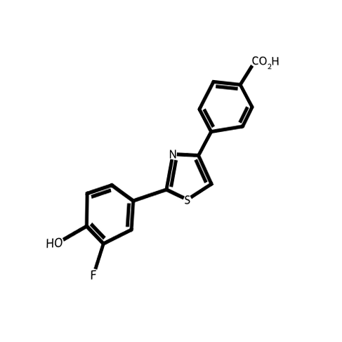 O=C(O)c1ccc(-c2csc(-c3ccc(O)c(F)c3)n2)cc1